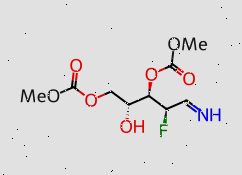 COC(=O)OC[C@@H](O)[C@@H](OC(=O)OC)[C@H](F)C=N